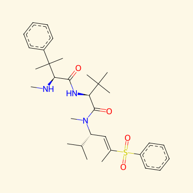 CN[C@H](C(=O)N[C@H](C(=O)N(C)[C@H](/C=C(\C)S(=O)(=O)c1ccccc1)C(C)C)C(C)(C)C)C(C)(C)c1ccccc1